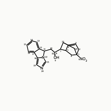 O=[N+]([O-])C12CC=C3C(C1)C([C@@H](O)CC1c4ccccc4-c4cncn41)C3C2